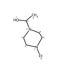 [CH2]CN1CCN(C(C)O)CC1